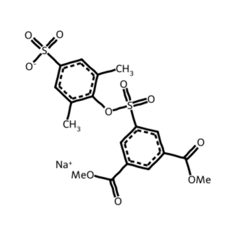 COC(=O)c1cc(C(=O)OC)cc(S(=O)(=O)Oc2c(C)cc(S(=O)(=O)[O-])cc2C)c1.[Na+]